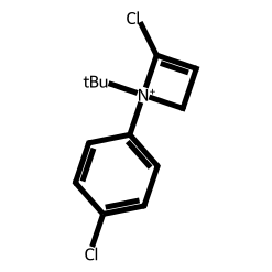 CC(C)(C)[N+]1(c2ccc(Cl)cc2)CC=C1Cl